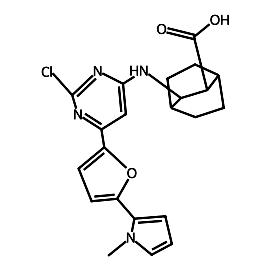 Cn1cccc1-c1ccc(-c2cc(NC3C4CCC(CC4)C3C(=O)O)nc(Cl)n2)o1